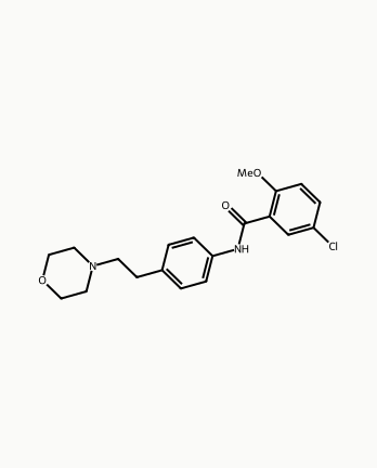 COc1ccc(Cl)cc1C(=O)Nc1ccc(CCN2CCOCC2)cc1